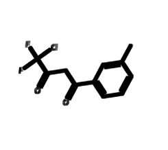 Cc1cccc(C(=O)CC(=O)C(F)(F)Cl)c1